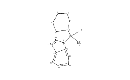 CCC(I)(C1CCCCC1)n1nnc2ccccc21